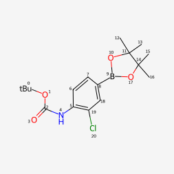 CC(C)(C)OC(=O)Nc1ccc(B2OC(C)(C)C(C)(C)O2)cc1Cl